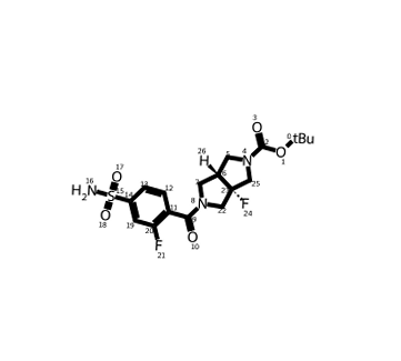 CC(C)(C)OC(=O)N1C[C@H]2CN(C(=O)c3ccc(S(N)(=O)=O)cc3F)C[C@]2(F)C1